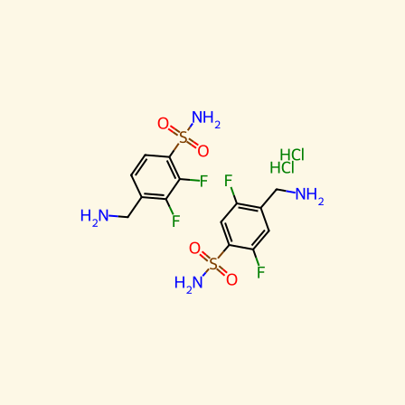 Cl.Cl.NCc1cc(F)c(S(N)(=O)=O)cc1F.NCc1ccc(S(N)(=O)=O)c(F)c1F